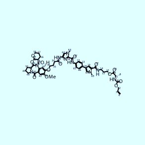 C=CCOC(=O)N[C@@H](C)C(=O)OCCCNC(=O)c1cc(-c2ccc(NC(=O)c3nc(NC(=O)CCCOc4cc5c(cc4OC)C(=O)N4CCCC4C(OC4CCCCO4)N5C(=O)O)cn3C)cc2)cn1C